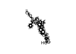 C=C(C)[C@@H]1CC[C@]2(C(=O)N3CCC[C@H]3c3nc(-c4ccccc4)cn3CCOCCOC)CC[C@]3(C)[C@H](CCC4[C@@]5(C)CC[C@H](OC(=O)[C@H]6C[C@@H](C(=O)O)C6(C)C)C(C)(C)C5CC[C@]43C)C12